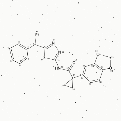 CCC(c1ccccc1)c1nnc(NC(=O)C2(c3ccc4c(c3)OCO4)CC2)s1